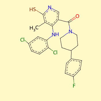 Cc1c(S)ncc(C(=O)N2CCC(c3ccc(F)cc3)CC2)c1Nc1cc(Cl)ccc1Cl